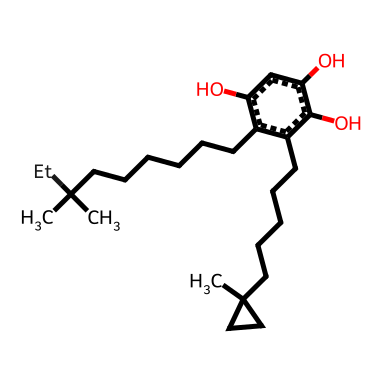 CCC(C)(C)CCCCCCc1c(O)cc(O)c(O)c1CCCCCC1(C)CC1